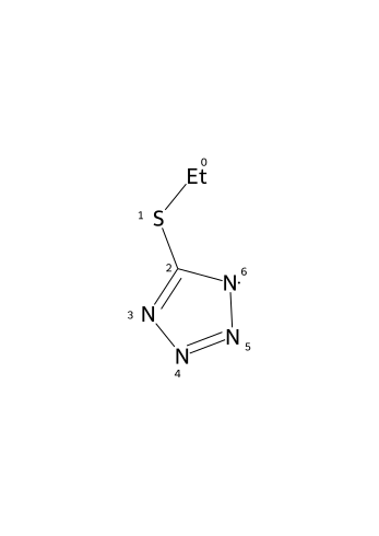 CCSC1=NN=N[N]1